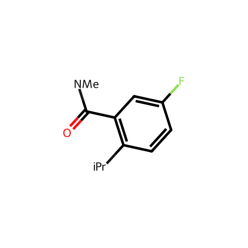 CNC(=O)c1cc(F)ccc1C(C)C